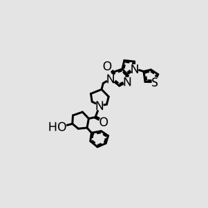 O=C(C1CCC(O)CC1c1ccccc1)N1CCC(Cn2cnc3c(ccn3-c3ccsc3)c2=O)CC1